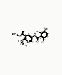 C=C(OCCC)c1cc(NC(=O)c2c(F)ccc(N)c2F)cnc1NN